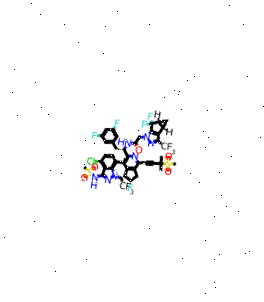 CC(C)(C#Cc1nc([C@H](Cc2cc(F)cc(F)c2)NC(=O)Cn2nc(C(F)(F)F)c3c2C(F)(F)[C@@H]2C[C@H]32)c(-c2ccc(Cl)c3c(NS(C)(=O)=O)nn(CC(F)(F)F)c23)c2c1C[C@H](F)C2)S(C)(=O)=O